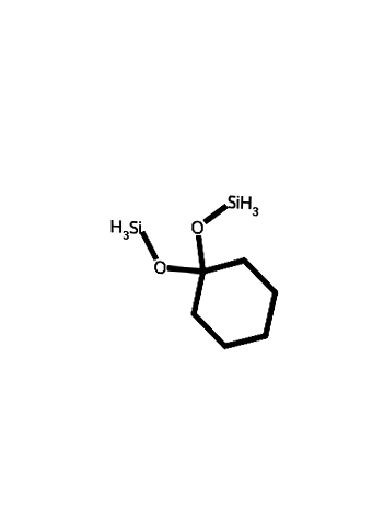 [SiH3]OC1(O[SiH3])CCCCC1